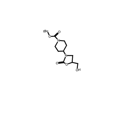 CC(C)(C)OC(=O)N1CCC(N2CC(CO)OC2=O)CC1